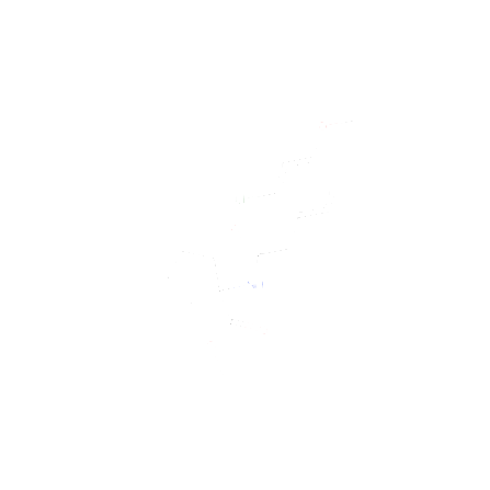 COC(=O)C1(NC(=O)Cc2ccc(OC)cc2Cl)CCCC1